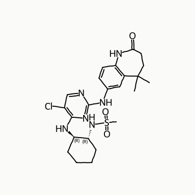 CC1(C)CCC(=O)Nc2ccc(Nc3ncc(Cl)c(N[C@@H]4CCCC[C@H]4NS(C)(=O)=O)n3)cc21